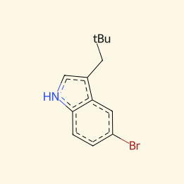 CC(C)(C)Cc1c[nH]c2ccc(Br)cc12